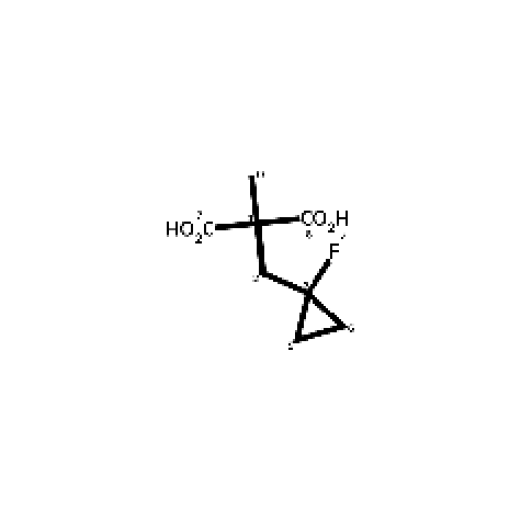 CC(CC1(F)CC1)(C(=O)O)C(=O)O